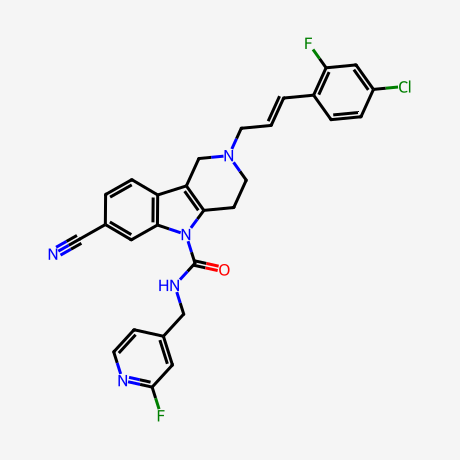 N#Cc1ccc2c3c(n(C(=O)NCc4ccnc(F)c4)c2c1)CCN(CC=Cc1ccc(Cl)cc1F)C3